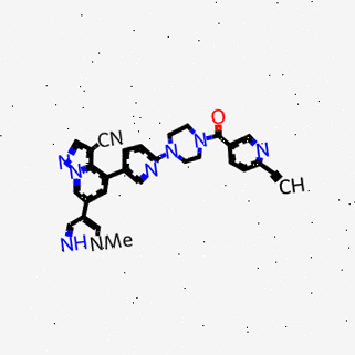 C#Cc1ccc(C(=O)N2CCN(c3ccc(-c4cc(/C(C=N)=C/NC)cn5ncc(C#N)c45)cn3)CC2)cn1